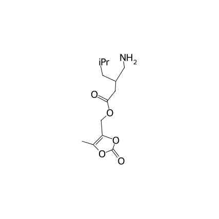 Cc1oc(=O)oc1COC(=O)CC(CN)CC(C)C